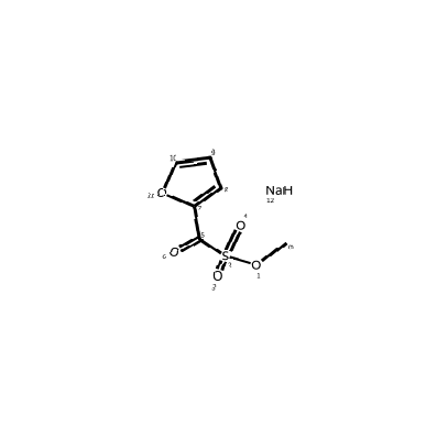 COS(=O)(=O)C(=O)c1ccco1.[NaH]